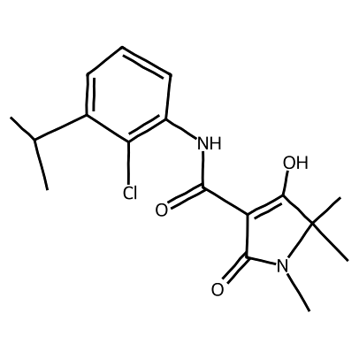 CC(C)c1cccc(NC(=O)C2=C(O)C(C)(C)N(C)C2=O)c1Cl